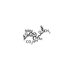 CNC(CCC(=O)CS(F)=S)C(=O)NC(CCC(=O)O)C(=O)NC(CCC(=O)CS(C)=S=S=S)C(C)=O